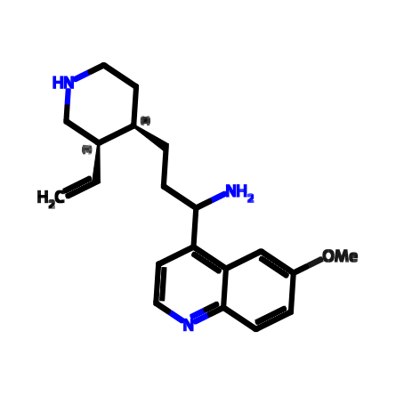 C=C[C@H]1CNCC[C@H]1CCC(N)c1ccnc2ccc(OC)cc12